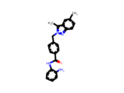 Cc1ccc2nn(Cc3ccc(C(=O)Nc4ccccc4N)cc3)c(C)c2c1